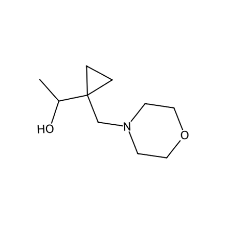 CC(O)C1(CN2CCOCC2)CC1